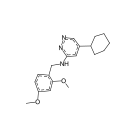 COc1ccc(CNc2cc(C3CCCCC3)cnn2)c(OC)c1